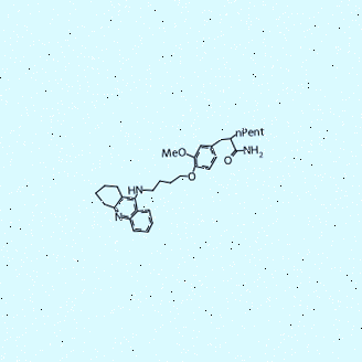 CCCCCC(Cc1ccc(OCCCCNc2c3c(nc4ccccc24)CCCC3)c(OC)c1)C(N)=O